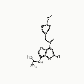 COc1ccc(CN(C)c2cc(Cl)nc3c(NC(N)O)cnn23)cc1